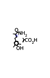 C/C(=C\Cc1cc(C)c(O)c(C)c1)C(N)=O.C=C(C)C(=O)O